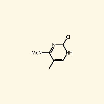 CNC1=NC(Cl)NC=C1C